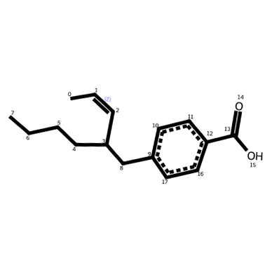 C/C=C\C(CCCC)Cc1ccc(C(=O)O)cc1